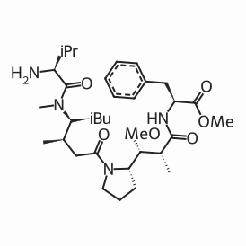 CC[C@H](C)[C@@H]([C@H](C)CC(=O)N1CCC[C@H]1[C@H](OC)[C@@H](C)C(=O)N[C@@H](Cc1ccccc1)C(=O)OC)N(C)C(=O)[C@@H](N)C(C)C